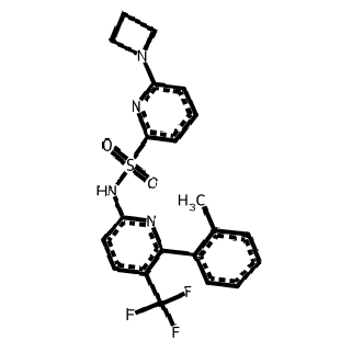 Cc1ccccc1-c1nc(NS(=O)(=O)c2cccc(N3CCC3)n2)ccc1C(F)(F)F